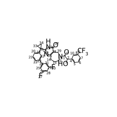 O=C(C(O)c1cccc(C(F)(F)F)c1)N1CCCc2nc(C3(c4cccc(-c5cc(F)cc(F)c5)c4)CC3)[nH]c(=O)c2C1